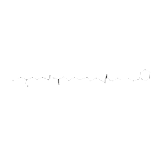 O=C(CCCCCCCNC(=O)CCOCCN1CCCCC1)NCCCCC(O)CO